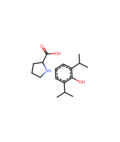 CC(C)c1cccc(C(C)C)c1O.O=C(O)C1CCCN1